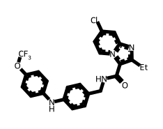 CCc1nc2cc(Cl)ccn2c1C(=O)NCc1ccc(Nc2ccc(OC(F)(F)F)cc2)cc1